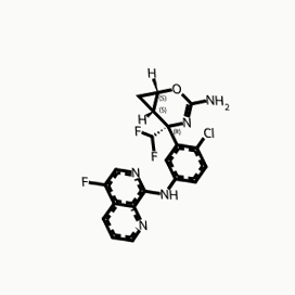 NC1=N[C@](c2cc(Nc3ncc(F)c4cccnc34)ccc2Cl)(C(F)F)[C@@H]2C[C@@H]2O1